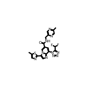 Cc1cnc(CNC(=O)c2cc(-n3nnnc3C(F)F)c3ncc(-c4ncc(C)s4)n3c2)cn1